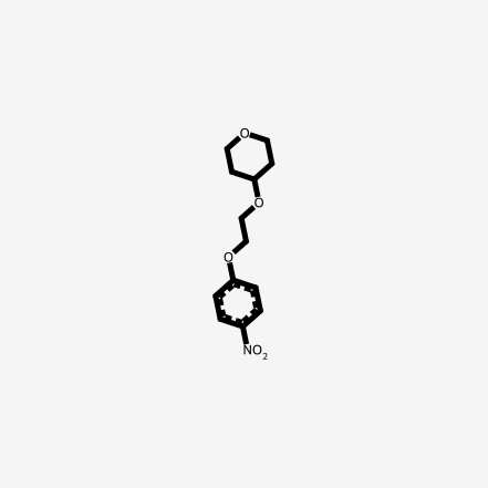 O=[N+]([O-])c1ccc(OCCOC2CCOCC2)cc1